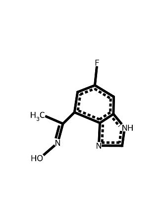 CC(=NO)c1cc(F)cc2[nH]cnc12